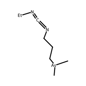 CCN=C=NCCC[As](C)C